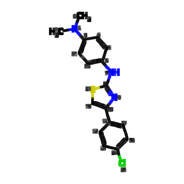 CN(C)c1ccc(Nc2nc(-c3ccc(Cl)cc3)cs2)cc1